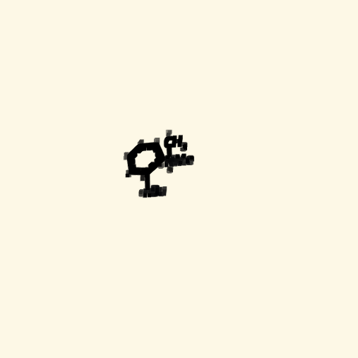 CCCCc1ccccc1.CNC